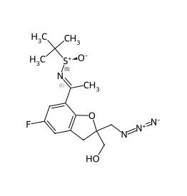 C/C(=N\[S@+]([O-])C(C)(C)C)c1cc(F)cc2c1OC(CO)(CN=[N+]=[N-])C2